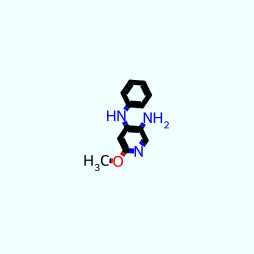 COc1cc(Nc2ccccc2)c(N)cn1